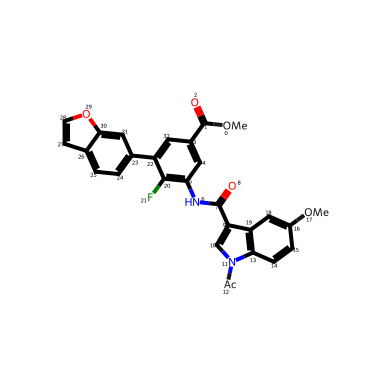 COC(=O)c1cc(NC(=O)c2cn(C(C)=O)c3ccc(OC)cc23)c(F)c(-c2ccc3ccoc3c2)c1